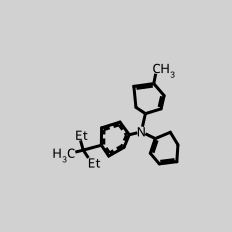 CCC(C)(CC)c1ccc(N(C2=CC=CCC2)C2C=CC(C)=CC2)cc1